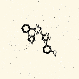 COc1cccc(-n2cc(N3CN=C4c5ccccc5-n5cncc5N43)nn2)c1